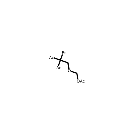 CCC(COCOC(C)=O)(C(C)=O)C(C)=O